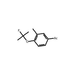 CC(=O)c1ccc(OC(C)(C)F)c(C)c1